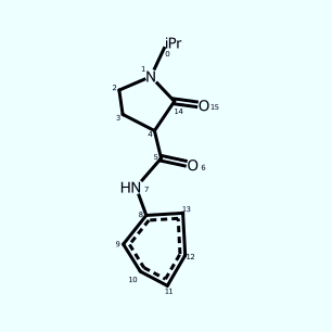 CC(C)N1CCC(C(=O)Nc2ccccc2)C1=O